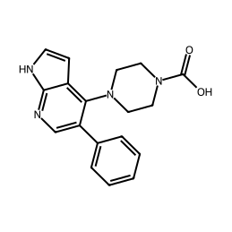 O=C(O)N1CCN(c2c(-c3ccccc3)cnc3[nH]ccc23)CC1